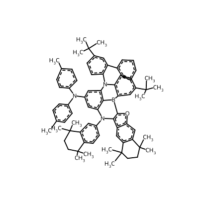 Cc1ccc(N(c2ccc(C)cc2)c2cc3c4c(c2)N(c2ccc5c(c2)C(C)(C)CCC5(C)C)c2c(oc5cc6c(cc25)C(C)(C)CCC6(C)C)B4c2cc(C(C)(C)C)ccc2N3c2ccc(C(C)(C)C)cc2-c2ccccc2)cc1